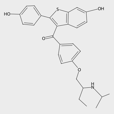 CCC(COc1ccc(C(=O)c2c(-c3ccc(O)cc3)sc3cc(O)ccc23)cc1)NC(C)C